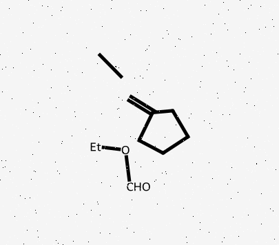 C=C1CCCC1.CC.CCOC=O